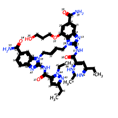 CCN/C(=C\C(=N)CC)C(=O)Nc1nc2cc(C(N)=O)cc(OCCCO)c2n1C/C=C/Cn1c(NC(=O)c2cc(CC)nn2CC)nc2ccc(C(N)=O)cc21